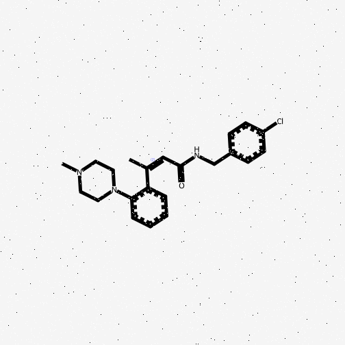 C/C(=C/C(=O)NCc1ccc(Cl)cc1)c1ccccc1N1CCN(C)CC1